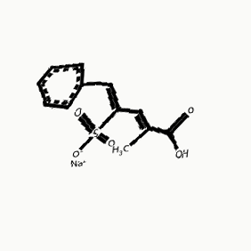 CC(=CC(=Cc1ccccc1)S(=O)(=O)[O-])C(=O)O.[Na+]